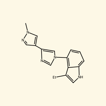 CCc1c[nH]c2cccc(-n3cnc(-c4cnn(C)c4)c3)c12